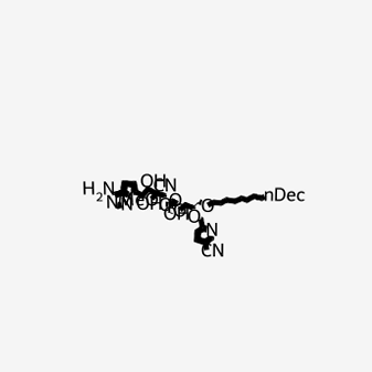 CCCCCCCCCCCCCCCCCCOC[C@@H](COP(=O)(O)OC[C@@](C#N)(OC)[C@@H](O)[C@@H](O)c1ccc2c(N)ncnn12)OCc1ccc(C#N)cn1